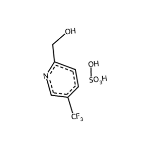 O=S(=O)(O)O.OCc1ccc(C(F)(F)F)cn1